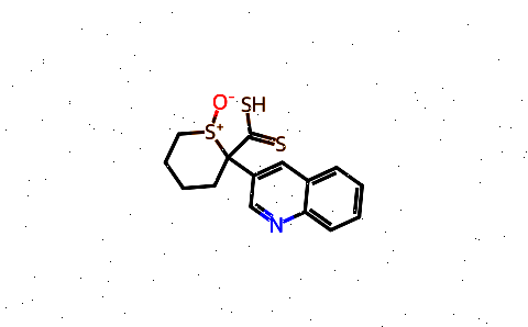 [O-][S+]1CCCCC1(C(=S)S)c1cnc2ccccc2c1